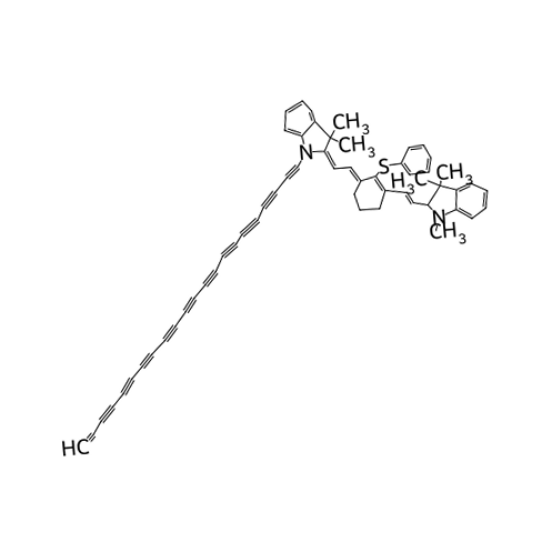 C#CC#CC#CC#CC#CC#CC#CC#CC#CC#CC#CN1/C(=C/C=C2\CCCC(/C=C/C3N(C)c4ccccc4C3(C)C)=C2Sc2ccccc2)C(C)(C)c2ccccc21